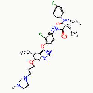 CCN1CCN(CCCOc2cc3ncnc(Oc4ccc(NC(=O)C5(C(=O)Nc6ccc(F)cc6)[C@H](C)[C@@H]5C)cc4F)c3cc2OC)CC1